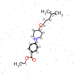 CCOC(=O)c1ccc(N2CCC(OCCCC(C)C)CC2)cc1